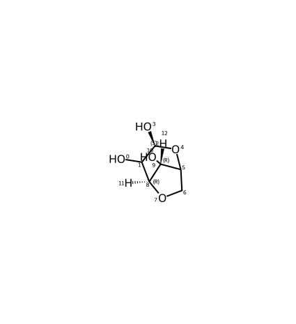 OC1[C@@H](O)OC2CO[C@@H]1[C@@H]2O